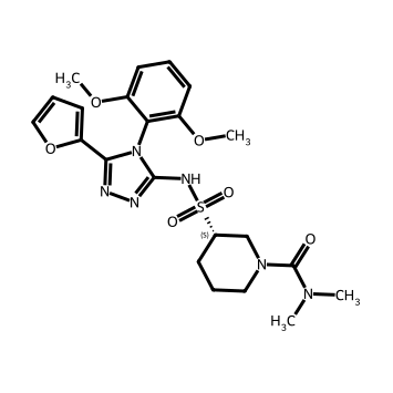 COc1cccc(OC)c1-n1c(NS(=O)(=O)[C@H]2CCCN(C(=O)N(C)C)C2)nnc1-c1ccco1